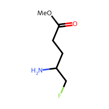 COC(=O)CCC(N)CF